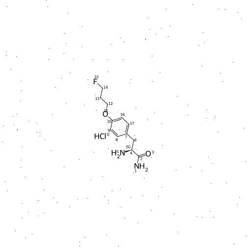 Cl.NC(=O)[C@@H](N)Cc1ccc(OCCCF)cc1